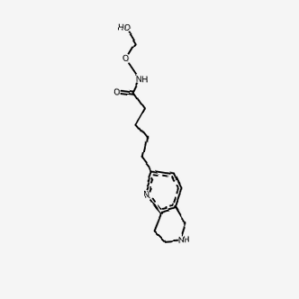 O=C(CCCCc1ccc2c(n1)CCNC2)NOCO